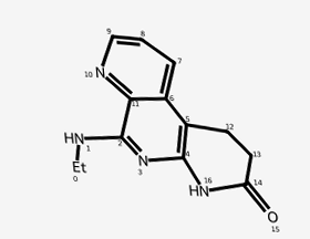 CCNc1nc2c(c3cccnc13)CCC(=O)N2